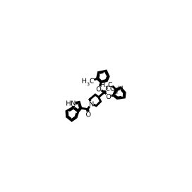 Cc1ccccc1OC(Oc1ccccc1C)(C(=O)O)C1CCN(C(=O)c2c[nH]c3ccccc23)CC1